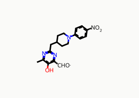 Cc1nc(CC2CCN(c3ccc([N+](=O)[O-])cc3)CC2)nc([C]=O)c1O